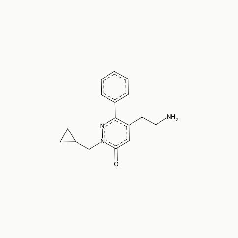 NCCc1cc(=O)n(CC2CC2)nc1-c1ccccc1